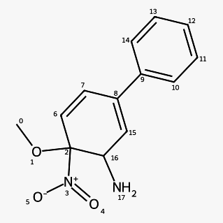 COC1([N+](=O)[O-])C=CC(c2ccccc2)=CC1N